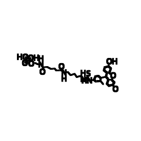 Cc1cc(NC(=S)NCCCCCNC(=O)CCCCC(=O)NCCOP(=O)(O)O)ccc1-c1c2ccc(=O)cc-2oc2cc(O)ccc12